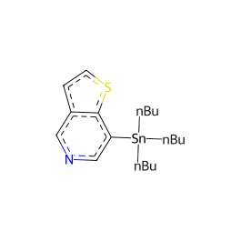 CCC[CH2][Sn]([CH2]CCC)([CH2]CCC)[c]1cncc2ccsc12